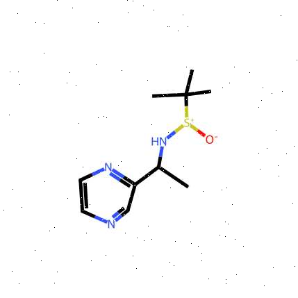 CC(N[S+]([O-])C(C)(C)C)c1cnccn1